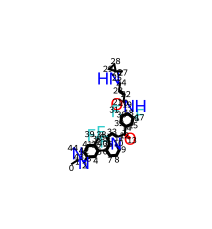 Cc1nc2cc(-c3cccn4c(C(=O)c5cc(F)c(NC(=O)/C=C/CNC6(C)CC6)c(F)c5)ccc34)c(C(F)(F)F)cc2n1C